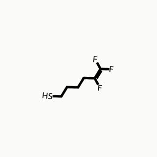 FC(F)=C(F)CCCCS